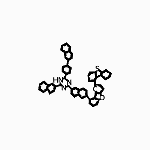 c1ccc2cc(C3=NC(c4ccc5cc(-c6cccc7oc8ccc(-c9cccc%10sc%11ccccc%11c9%10)cc8c67)ccc5c4)=NC(c4ccc(-c5ccc6ccccc6c5)cc4)N3)ccc2c1